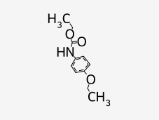 CCOC(=O)Nc1ccc(OCC)cc1